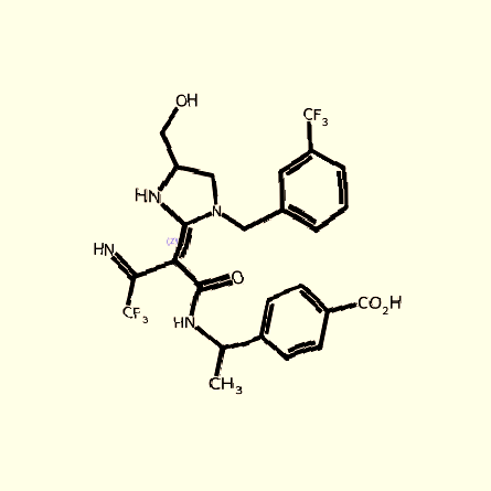 CC(NC(=O)/C(C(=N)C(F)(F)F)=C1/NC(CO)CN1Cc1cccc(C(F)(F)F)c1)c1ccc(C(=O)O)cc1